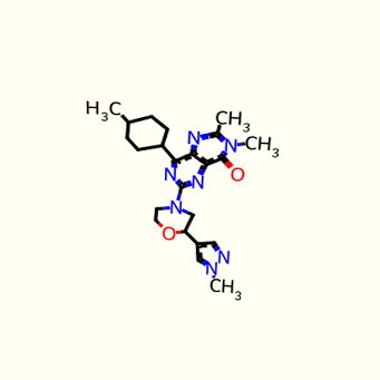 Cc1nc2c(C3CCC(C)CC3)nc(N3CCOC(c4cnn(C)c4)C3)nc2c(=O)n1C